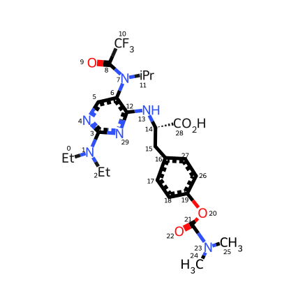 CCN(CC)c1ncc(N(C(=O)C(F)(F)F)C(C)C)c(N[C@@H](Cc2ccc(OC(=O)N(C)C)cc2)C(=O)O)n1